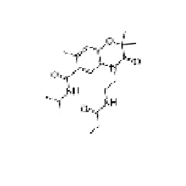 CCC(=O)NCCN1C(=O)C(C)(C)Oc2cc(C)c(C(=O)NC(C)C)cc21